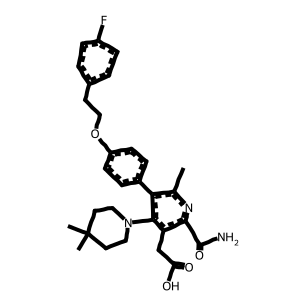 Cc1nc(C(N)=O)c(CC(=O)O)c(N2CCC(C)(C)CC2)c1-c1ccc(OCCc2ccc(F)cc2)cc1